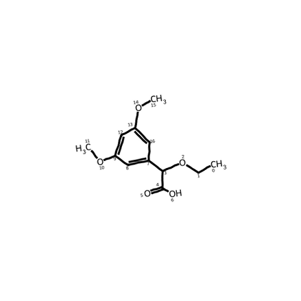 CCOC(C(=O)O)c1cc(OC)cc(OC)c1